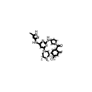 Cc1cc(Nc2cc(N3C[C@@H](C)N(C)[C@@H](C)C3)nc(N[C@H]3CCN(C(=O)c4ccc(Cl)cc4F)C3)n2)n[nH]1